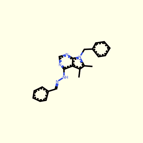 Cc1c(C)n(Cc2ccccc2)c2ncnc(N/N=C/c3ccccc3)c12